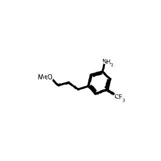 COC[CH]Cc1cc(N)cc(C(F)(F)F)c1